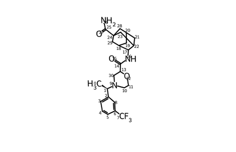 C[C@H](c1cccc(C(F)(F)F)c1)N1CCOC(C(=O)NC2C3CC4CC2CC(C(N)=O)(C4)C3)C1